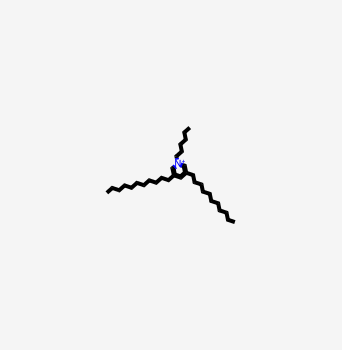 CCCCCCCCCCCc1cc(CCCCCCCCCCC)c[n+](CCCCCC)c1